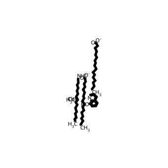 CCCCCCCCCCCCCCCCCC(=O)[O-].CCCCCCCCCCCCCCCCCC(=O)[O-].CCCCCCCCCCCCCCCC[NH3+].O.Oc1cccc2cccnc12.[Cl-].[Co+2]